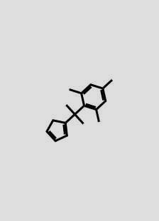 Cc1cc(C)c(C(C)(C)C2=CC=CC2)c(C)c1